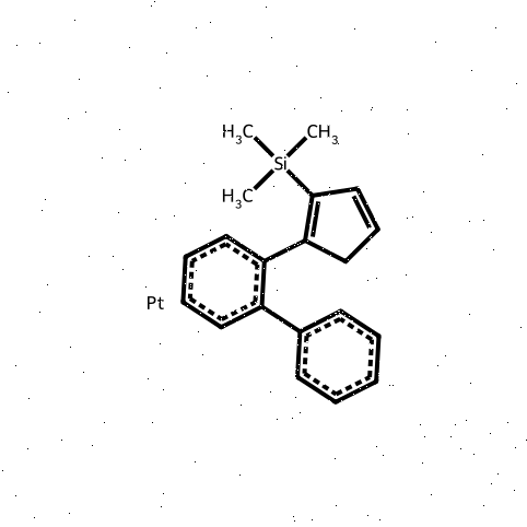 C[Si](C)(C)C1=C(c2ccccc2-c2ccccc2)CC=C1.[Pt]